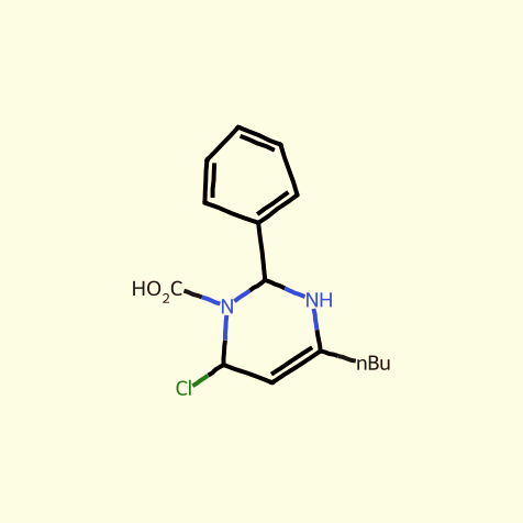 CCCCC1=CC(Cl)N(C(=O)O)C(c2ccccc2)N1